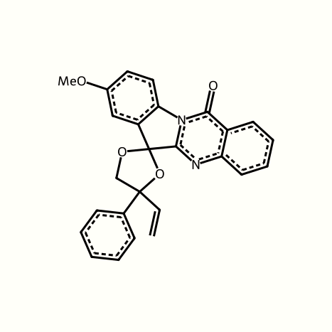 C=CC1(c2ccccc2)COC2(O1)c1cc(OC)ccc1-n1c2nc2ccccc2c1=O